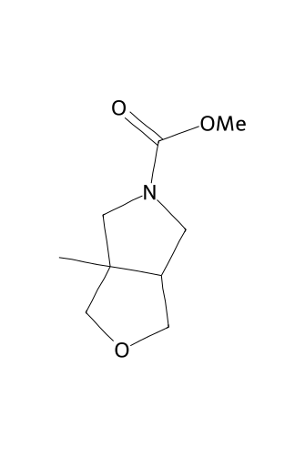 COC(=O)N1CC2COCC2(C)C1